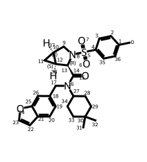 Cc1ccc(S(=O)(=O)N2C[C@@H]3C[C@@H]3[C@@H]2C(=O)N(Cc2ccc3ccoc3c2)C2CCC(C)(C)CC2)cc1